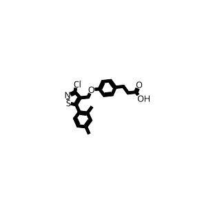 Cc1ccc(-c2snc(Cl)c2COc2ccc(CCC(=O)O)cc2)c(C)c1